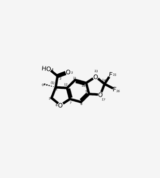 C[C@@]1(C(=O)O)COc2cc3c(cc21)OC(F)(F)O3